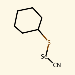 N#C[Se]SC1CCCCC1